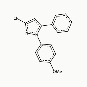 COc1ccc(-n2nc(Cl)cc2-c2cc[c]cc2)cc1